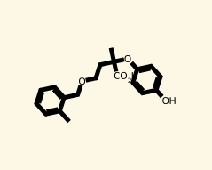 Cc1ccccc1COCCC(C)(Oc1ccc(O)cc1)C(=O)O